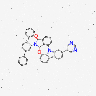 O=C1c2cccc(-n3c4ccccc4c4ccc(-c5cncnc5)cc43)c2C(=O)N1c1cc(-c2ccccc2)ccc1-c1ccccc1